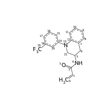 C=CC(=O)NC1Cc2ccccc2N(c2cccc(C(F)(F)F)c2)C1